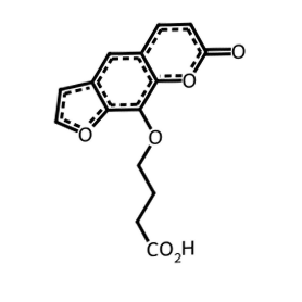 O=C(O)CCCOc1c2occc2cc2ccc(=O)oc12